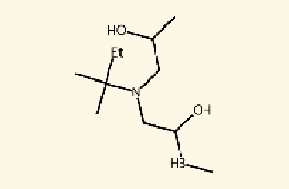 CBC(O)CN(CC(C)O)C(C)(C)CC